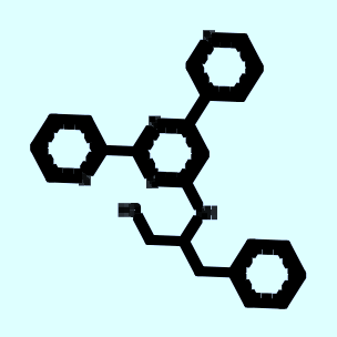 OCC(Cc1ccccc1)Nc1cc(-c2cccnc2)nc(-c2ccccn2)n1